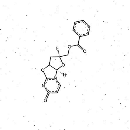 O=C(OC[C@]1(F)CC2Oc3nc(=O)ccn3[C@@H]2O1)c1ccccc1